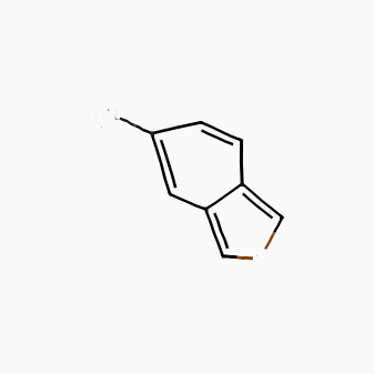 O=[N+]([O-])c1ccc2[c]scc2c1